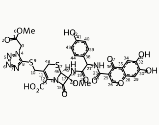 COC(=O)Cn1nnnc1SCC1=C(C(=O)O)N2C(=O)[C@](NC(=O)C(NC(=O)c3coc4cc(O)c(O)cc4c3=O)c3ccc(O)cc3)(OC)[C@@H]2SC1